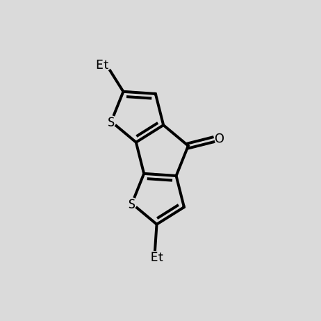 CCc1cc2c(s1)-c1sc(CC)cc1C2=O